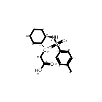 Cc1ccc(S(=O)(=O)N[C@@H]2CCCC[C@H]2OCC(=O)O)cc1